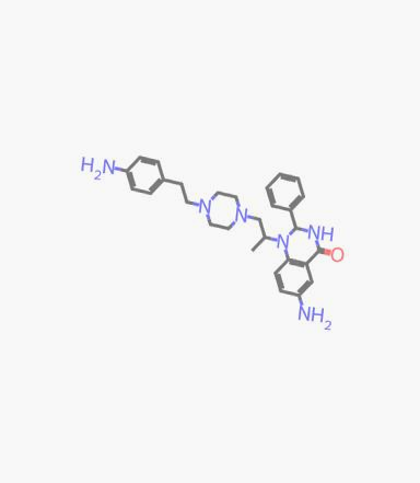 CC(CN1CCN(CCc2ccc(N)cc2)CC1)N1c2ccc(N)cc2C(=O)NC1c1ccccc1